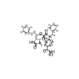 CCNC(=O)C(=O)[C@H](C[C@@H]1CCNC1=O)NC(=O)[C@H](Cc1ccccc1)NC(=O)OCCCc1ccccc1